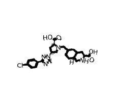 O=C(O)C1CC2CC(CN3C[C@@H](n4nnc(-c5ccc(Cl)cc5)n4)C[C@H]3C(=O)O)CC[C@H]2CN1